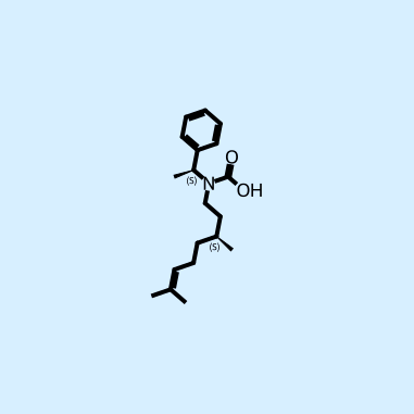 CC(C)=CCC[C@H](C)CCN(C(=O)O)[C@@H](C)c1ccccc1